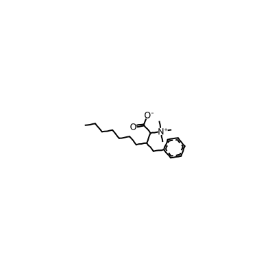 CCCCCCCC(Cc1ccccc1)C(C(=O)[O-])[N+](C)(C)C